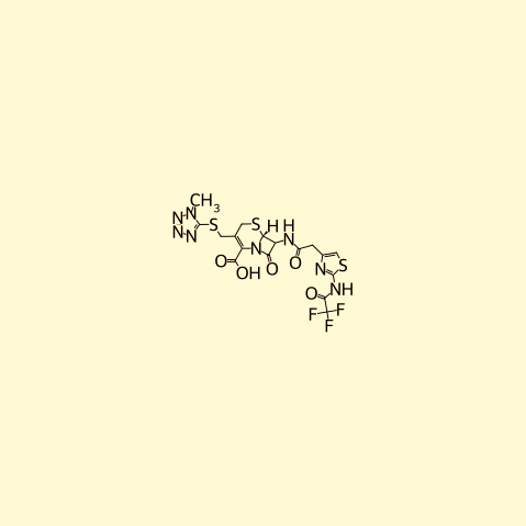 Cn1nnnc1SCC1=C(C(=O)O)N2C(=O)C(NC(=O)Cc3csc(NC(=O)C(F)(F)F)n3)[C@H]2SC1